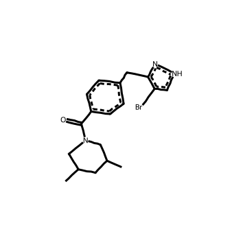 CC1CC(C)CN(C(=O)c2ccc(Cc3n[nH]cc3Br)cc2)C1